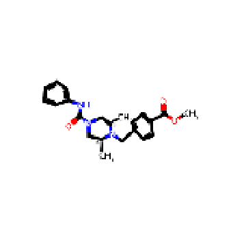 COC(=O)c1ccc(CN2[C@H](C)CN(C(=O)Nc3ccccc3)C[C@@H]2C)cc1